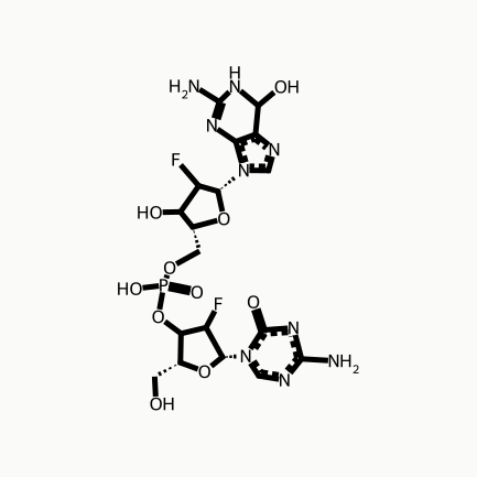 NC1=Nc2c(ncn2[C@@H]2O[C@H](COP(=O)(O)OC3C(F)[C@H](n4cnc(N)nc4=O)O[C@@H]3CO)C(O)C2F)C(O)N1